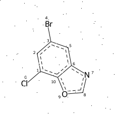 Clc1cc(Br)cc2ncoc12